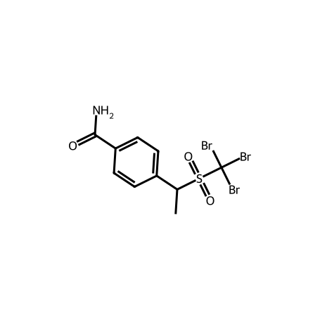 CC(c1ccc(C(N)=O)cc1)S(=O)(=O)C(Br)(Br)Br